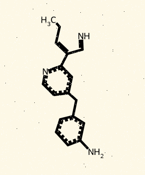 CC/C=C(\C=N)c1cc(Cc2cccc(N)c2)ccn1